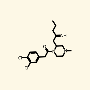 CCCC(=N)CC1CN(C)CCN1C(=O)Cc1ccc(Cl)c(Cl)c1